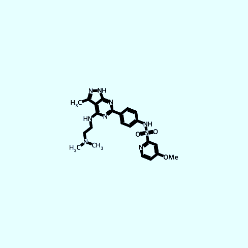 COc1ccnc(S(=O)(=O)Nc2ccc(-c3nc(NCCN(C)C)c4c(C)n[nH]c4n3)cc2)c1